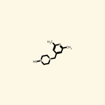 Cc1cc(CN2CCN(S)CC2)cc(C)n1